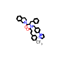 O=C(C(Cc1ccccc1)N(Cc1ccc(-n2cccn2)cc1)C(=O)C=Cc1ccc(C(F)(F)F)cc1)N1CCc2ccccc2C1